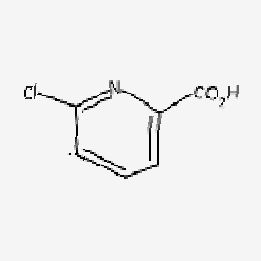 O=C(O)c1cc[c]c(Cl)n1